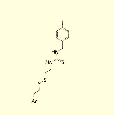 CC(=O)CCSSCCNC(=S)NCc1ccc(C)cc1